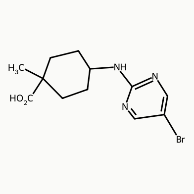 CC1(C(=O)O)CCC(Nc2ncc(Br)cn2)CC1